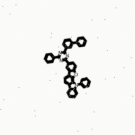 c1ccc(-c2cccc(-c3nc(-c4ccccc4)nc(-c4ccc5oc6c(ccc7c8ccccc8n(-c8ccccc8)c76)c5c4)n3)c2)cc1